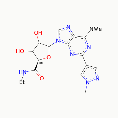 CCNC(=O)[C@@H]1OC(n2cnc3c(NC)nc(-c4cnn(C)c4)nc32)C(O)C1O